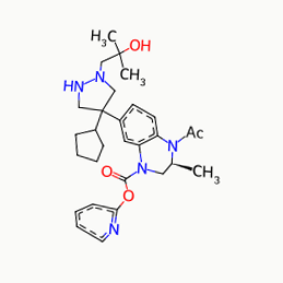 CC(=O)N1c2ccc(C3(C4CCCC4)CNN(CC(C)(C)O)C3)cc2N(C(=O)Oc2ccccn2)C[C@@H]1C